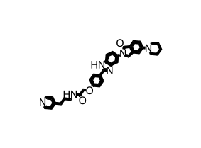 O=C(COc1ccc(-c2nc3cc(N4Cc5cc(N6CCCCC6)ccc5C4=O)ccc3[nH]2)cc1)NCCCc1ccncc1